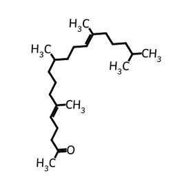 CC(=O)CC/C=C(\C)CCCC(C)CC/C=C(\C)CCCC(C)C